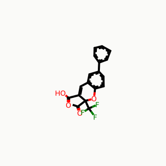 CC(=O)C1(C(F)(F)F)Oc2ccc(-c3ccccc3)cc2C=C1C(=O)O